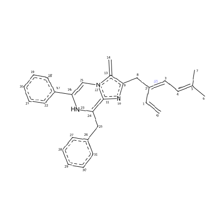 C=C/C(=C\C=C(C)C)Cc1nc2n(c1=C)C=C(c1ccccc1)NC=2Cc1ccccc1